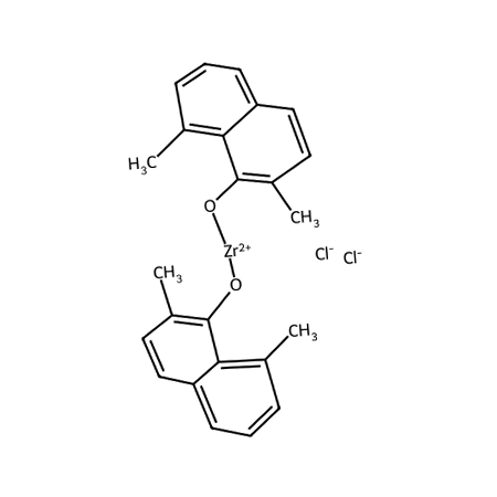 Cc1ccc2cccc(C)c2c1[O][Zr+2][O]c1c(C)ccc2cccc(C)c12.[Cl-].[Cl-]